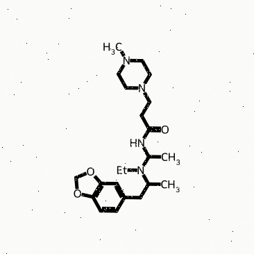 CCN(C(C)Cc1ccc2c(c1)OCO2)C(C)NC(=O)CCN1CCN(C)CC1